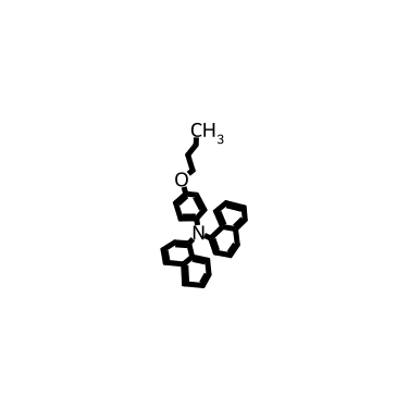 CCCCOc1ccc(N(c2cccc3ccccc23)c2cccc3ccccc23)cc1